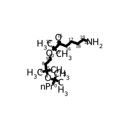 CCCC(C)(C)OC(C)(C)CCOC(C)(C)C(=O)CCCCN